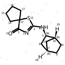 O=C1N=C(N[C@@H]2C[C@@H]3CC[C@@H]2C3)SC12CCCC2